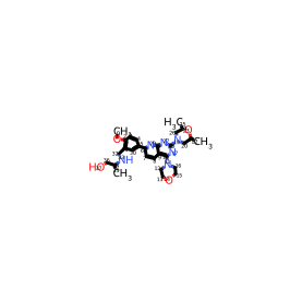 COc1ccc(-c2ccc3c(N4CCOCC4)nc(N4CC(C)OC(C)C4)nc3n2)cc1CNC(C)CO